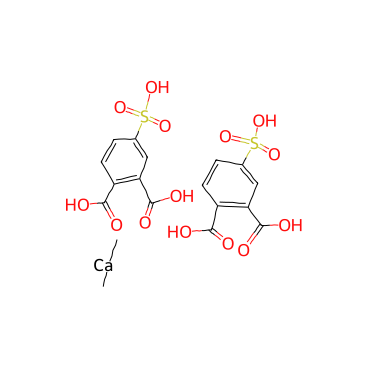 O=C(O)c1ccc(S(=O)(=O)O)cc1C(=O)O.O=C(O)c1ccc(S(=O)(=O)O)cc1C(=O)O.[CH3][Ca][CH3]